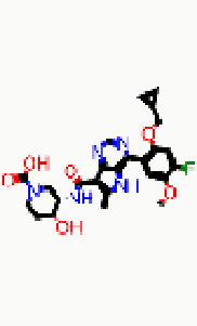 COc1cc(-c2ncnc3c(C(=O)N[C@H]4CN(C(=O)O)CC[C@@H]4O)c(C)[nH]c23)c(OCC2CC2)cc1F